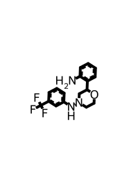 Nc1ccccc1C1CN(Nc2cccc(C(F)(F)F)c2)CCO1